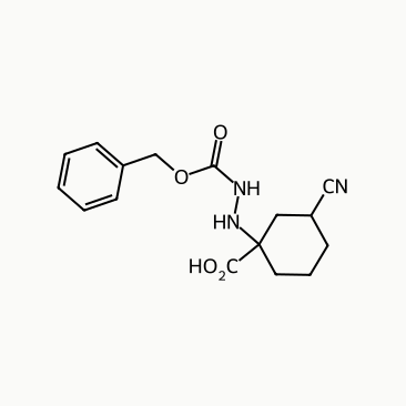 N#CC1CCCC(NNC(=O)OCc2ccccc2)(C(=O)O)C1